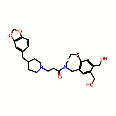 O=C(CCN1CCC(Cc2ccc3c(c2)OCO3)CC1)N1CCSc2cc(CO)c(CO)cc2C1